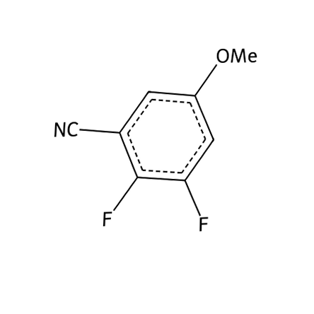 COc1cc(F)c(F)c(C#N)c1